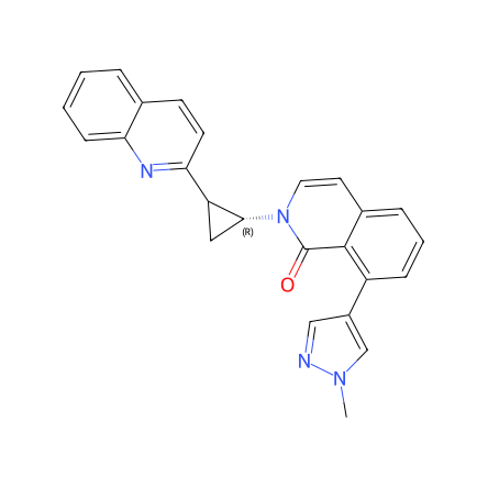 Cn1cc(-c2cccc3ccn([C@@H]4CC4c4ccc5ccccc5n4)c(=O)c23)cn1